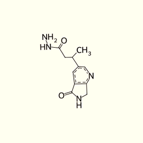 CC(CC(=O)NN)c1cnc2c(c1)C(=O)NC2